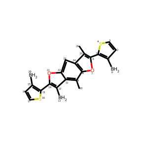 Bc1ccsc1-c1oc2c(C)c3c(B)c(-c4sccc4B)oc3cc2c1C